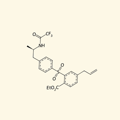 C=CCc1ccc(C(=O)OCC)c(S(=O)(=O)c2ccc(C[C@@H](C)NC(=O)C(F)(F)F)cc2)c1